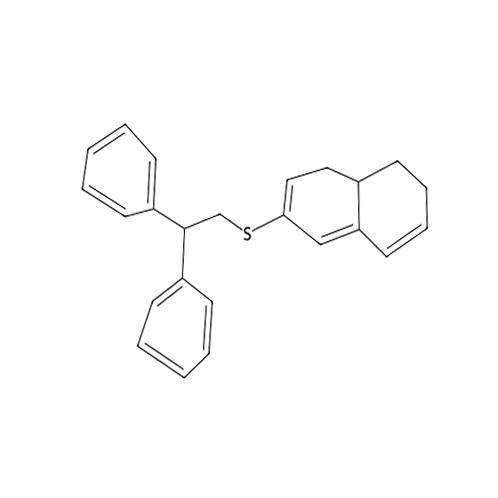 C1=CC2=CC(SCC(c3ccccc3)c3ccccc3)=CCC2CC1